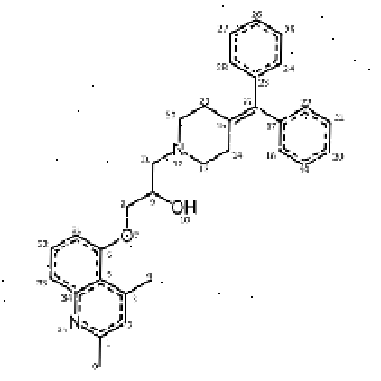 Cc1cc(C)c2c(OCC(O)CN3CCC(=C(c4ccccc4)c4ccccc4)CC3)cccc2n1